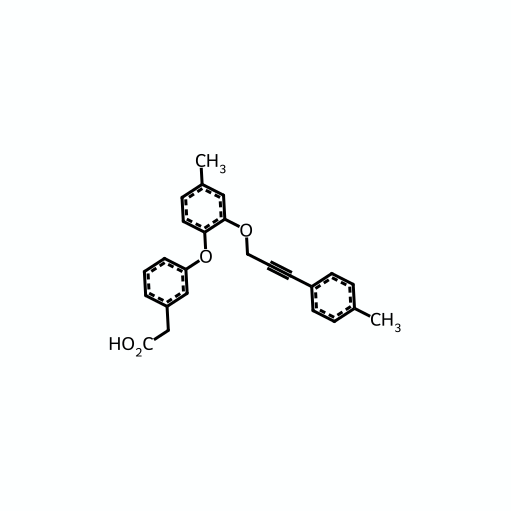 Cc1ccc(C#CCOc2cc(C)ccc2Oc2cccc(CC(=O)O)c2)cc1